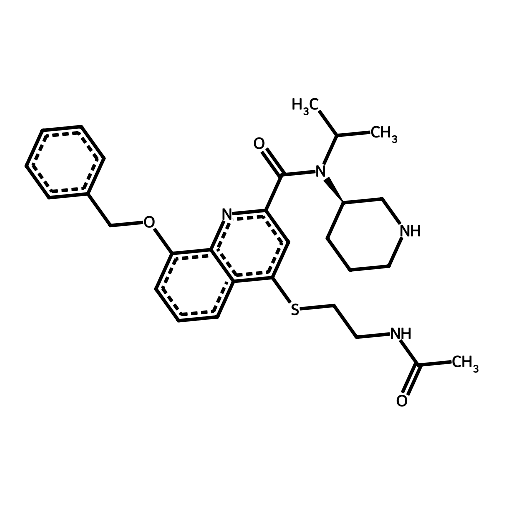 CC(=O)NCCSc1cc(C(=O)N(C(C)C)[C@@H]2CCCNC2)nc2c(OCc3ccccc3)cccc12